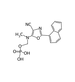 CN(COP(=O)(O)O)c1oc(-c2cccc3ccccc23)nc1C#N